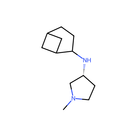 CN1CC[C@@H](NC2CCC3CC2C3)C1